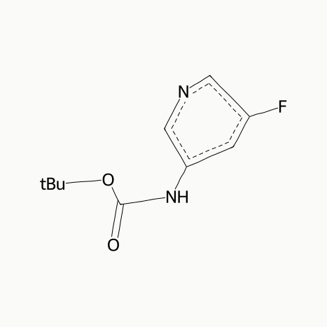 CC(C)(C)OC(=O)Nc1cncc(F)c1